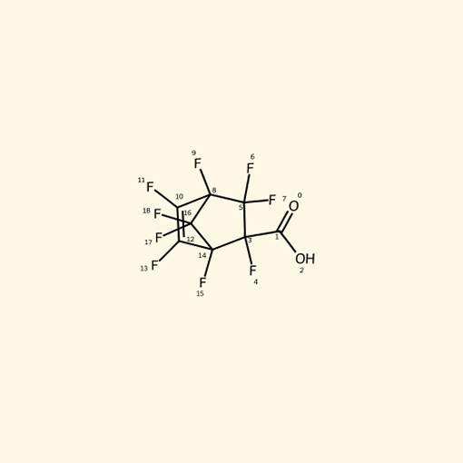 O=C(O)C1(F)C(F)(F)C2(F)C(F)=C(F)C1(F)C2(F)F